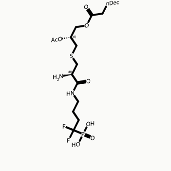 CCCCCCCCCCCC(=O)OC[C@H](CSC[C@H](N)C(=O)NCCCC(F)(F)P(=O)(O)O)OC(C)=O